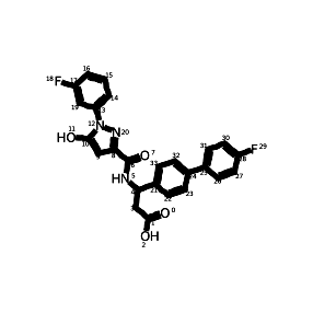 O=C(O)CC(NC(=O)c1cc(O)n(-c2cccc(F)c2)n1)c1ccc(-c2ccc(F)cc2)cc1